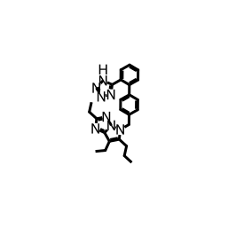 CCCc1c(CC)c2nc(CC)nn2n1Cc1ccc(-c2ccccc2-c2nnn[nH]2)cc1